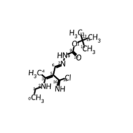 CCN/C(C)=C(/C=N/NC(=O)OC(C)(C)C)C(=N)Cl